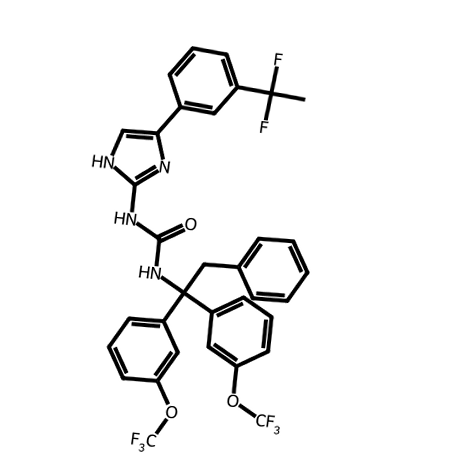 CC(F)(F)c1cccc(-c2c[nH]c(NC(=O)NC(Cc3ccccc3)(c3cccc(OC(F)(F)F)c3)c3cccc(OC(F)(F)F)c3)n2)c1